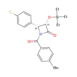 CC[Si](CC)(CC)O[C@@H]1C(=O)N(C(=O)c2ccc(C(C)(C)C)cc2)[C@@H]1c1ccc(F)cc1